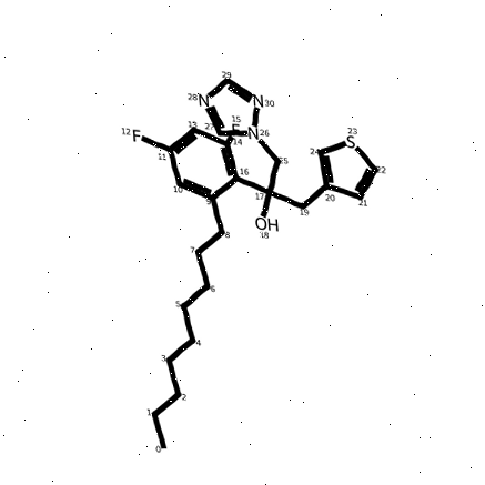 CCCCCCCCCc1cc(F)cc(F)c1C(O)(Cc1ccsc1)Cn1cncn1